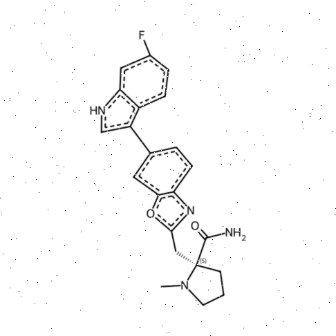 CN1CCC[C@]1(Cc1nc2ccc(-c3c[nH]c4cc(F)ccc34)cc2o1)C(N)=O